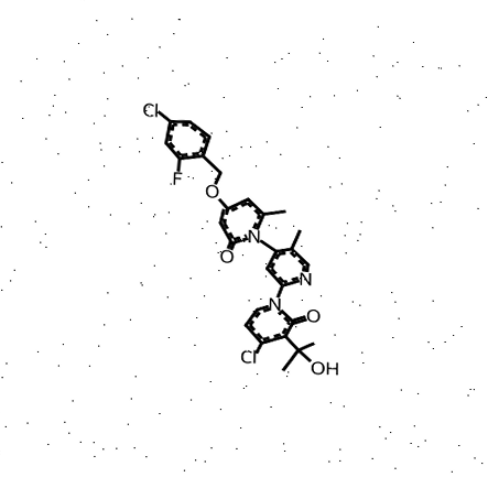 Cc1cnc(-n2ccc(Cl)c(C(C)(C)O)c2=O)cc1-n1c(C)cc(OCc2ccc(Cl)cc2F)cc1=O